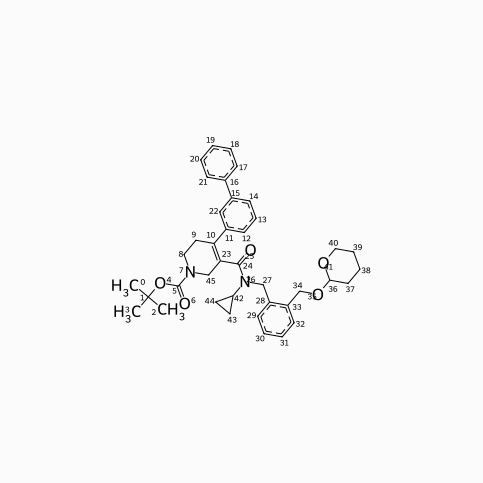 CC(C)(C)OC(=O)N1CCC(c2cccc(-c3ccccc3)c2)=C(C(=O)N(Cc2ccccc2COC2CCCCO2)C2CC2)C1